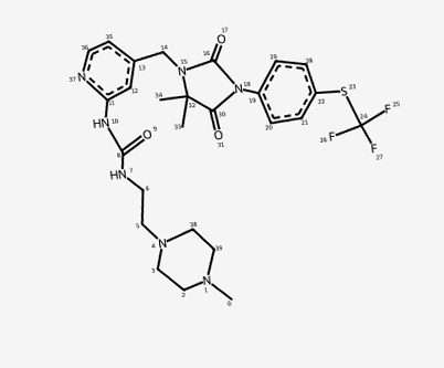 CN1CCN(CCNC(=O)Nc2cc(CN3C(=O)N(c4ccc(SC(F)(F)F)cc4)C(=O)C3(C)C)ccn2)CC1